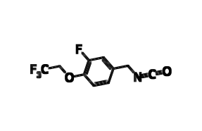 O=C=NCc1ccc(OCC(F)(F)F)c(F)c1